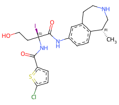 C[C@H]1CNCCc2cc(NC(=O)[C@@](I)(CCO)NC(=O)c3ccc(Cl)s3)ccc21